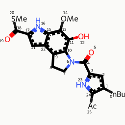 CCCCc1cc(C(=O)N2CCc3c2c(O)c(OC)c2[nH]c(C(=O)SC)cc32)[nH]c1C(C)=O